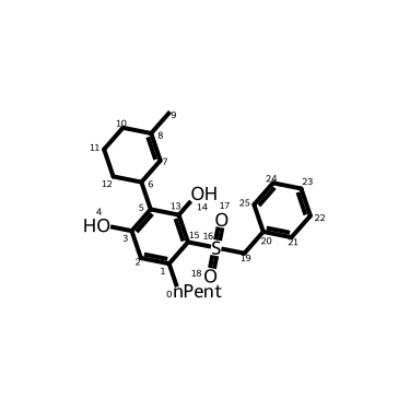 CCCCCc1cc(O)c(C2C=C(C)CCC2)c(O)c1S(=O)(=O)Cc1ccccc1